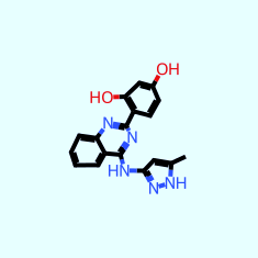 Cc1cc(Nc2nc(-c3ccc(O)cc3O)nc3ccccc23)n[nH]1